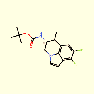 CC1c2cc(F)c(F)c3ccn(c23)C[C@@H]1NC(=O)OC(C)(C)C